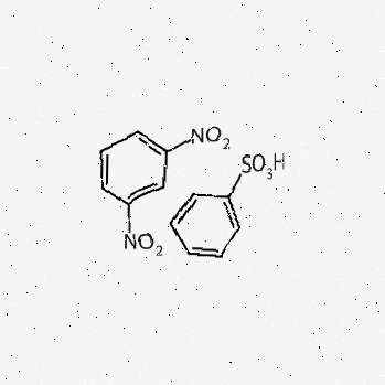 O=S(=O)(O)c1ccccc1.O=[N+]([O-])c1cccc([N+](=O)[O-])c1